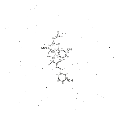 CO[C@]12CC[C@@H](N(C)C(=O)C=Cc3cccc(O)c3)C[C@]1(c1cccc(O)c1)CCN(CC1CC1)C2